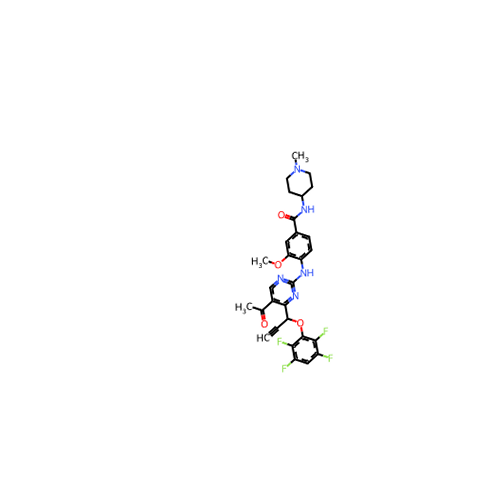 C#CC(Oc1c(F)c(F)cc(F)c1F)c1nc(Nc2ccc(C(=O)NC3CCN(C)CC3)cc2OC)ncc1C(C)=O